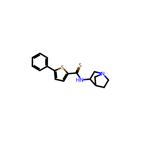 S=C(NC1CN2CCC1C2)c1ccc(-c2ccccc2)s1